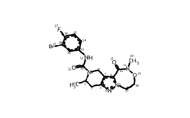 CC1Cc2nn3c(c2CN1C(=O)Nc1ccc(F)c(Br)c1)C(=O)N(C)OCC3